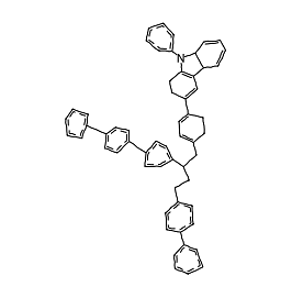 C1=CC2C3=C(CCC(C4=CC=C(CC(CCc5ccc(-c6ccccc6)cc5)c5ccc(-c6ccc(-c7ccccc7)cc6)cc5)CC4)=C3)N(c3ccccc3)C2C=C1